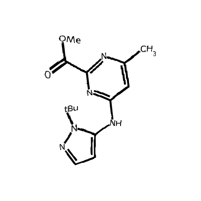 COC(=O)c1nc(C)cc(Nc2ccnn2C(C)(C)C)n1